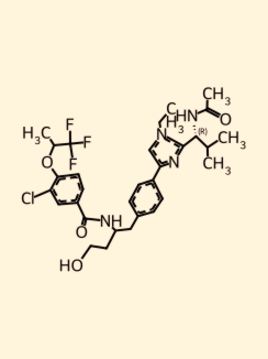 CCn1cc(-c2ccc(CC(CCO)NC(=O)c3ccc(OC(C)C(F)(F)F)c(Cl)c3)cc2)nc1[C@H](NC(C)=O)C(C)C